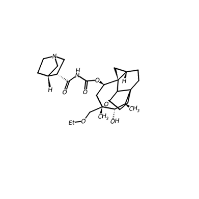 CCOC[C@]1(C)C[C@@H](OC(=O)NC(=O)[C@H]2CN3CC[C@@H]2C3)[C@]23C[C@@H]2CCC2(CCC(=O)C23)[C@@H](C)[C@@H]1O